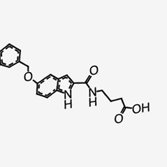 O=C(O)CCCNC(=O)c1cc2cc(OCc3ccccc3)ccc2[nH]1